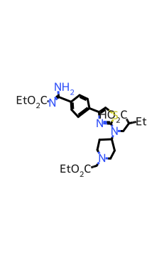 CCOC(=O)CN1CCC(N(CC(CC)C(=O)O)c2nc(-c3ccc(C(N)=NC(=O)OCC)cc3)cs2)CC1